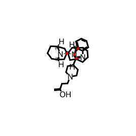 C=C(O)CCN1CCC(c2nc3ccccc3n2[C@H]2C[C@H]3CCC[C@@H](C2)N3[C@@H]2C[C@@H]3CCCC[C@@H](C3)C2)CC1